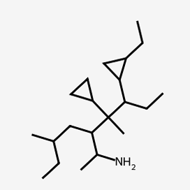 CCC(C)CC(C(C)N)C(C)(C1CC1)C(CC)C1CC1CC